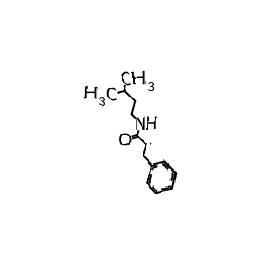 CC(C)CCNC(=O)[CH]Cc1ccccc1